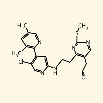 CSc1ncc(CC=O)c(CCNc2cc(-c3ncc(C)cc3C)c(Cl)cn2)n1